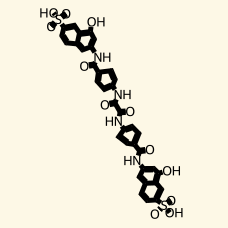 O=C(Nc1ccc(C(=O)Nc2cc(O)c3cc(S(=O)(=O)O)ccc3c2)cc1)C(=O)Nc1ccc(C(=O)Nc2cc(O)c3cc(S(=O)(=O)O)ccc3c2)cc1